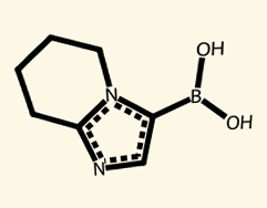 OB(O)c1cnc2n1CCCC2